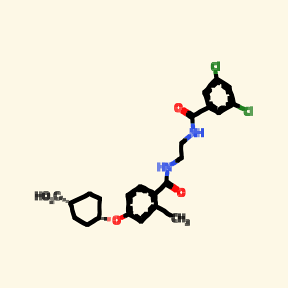 Cc1cc(O[C@H]2CC[C@@H](C(=O)O)CC2)ccc1C(=O)NCCNC(=O)c1cc(Cl)cc(Cl)c1